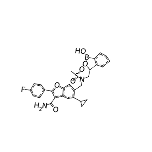 CS(=O)(=O)N(Cc1cc2oc(-c3ccc(F)cc3)c(C(N)=O)c2cc1C1CC1)CC1OB(O)c2ccccc21